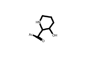 CC(=O)C(=O)C1NCCCC1O